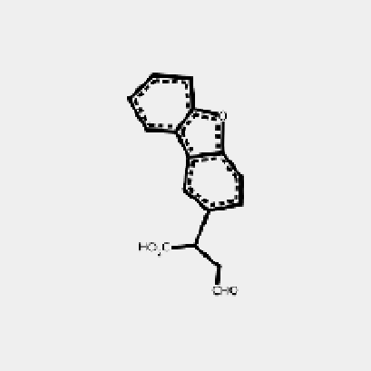 O=CCC(C(=O)O)c1ccc2oc3ccccc3c2c1